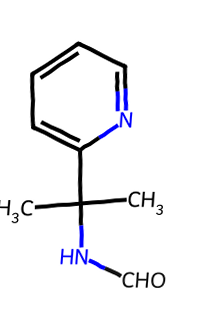 CC(C)(NC=O)c1ccccn1